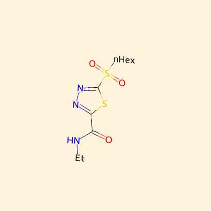 CCCCCCS(=O)(=O)c1nnc(C(=O)NCC)s1